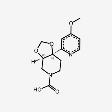 COc1ccnc([C@]23CCN(C(=O)O)C[C@H]2OCO3)c1